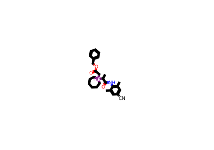 Cc1cc(C#N)cc(C)c1NC(=O)C(C)[PH]1(CC(=O)OCc2ccccc2)CCCCCC1